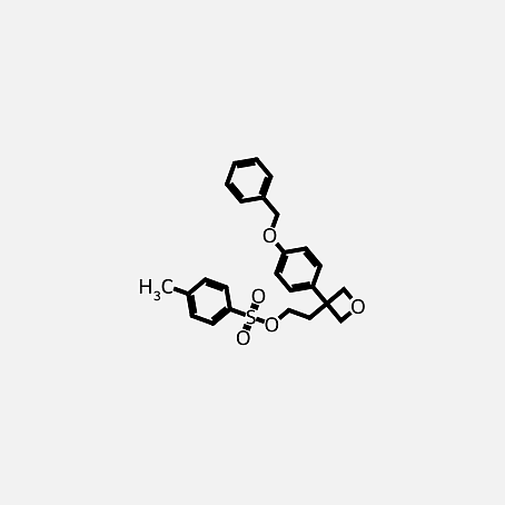 Cc1ccc(S(=O)(=O)OCCC2(c3ccc(OCc4ccccc4)cc3)COC2)cc1